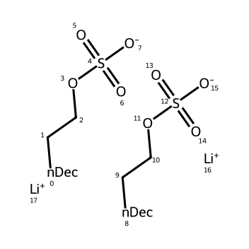 CCCCCCCCCCCCOS(=O)(=O)[O-].CCCCCCCCCCCCOS(=O)(=O)[O-].[Li+].[Li+]